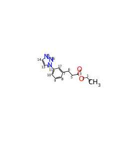 CCOC(=O)CCc1cccc(-n2ccnn2)c1